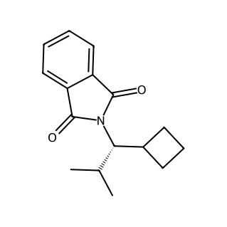 CC(C)[C@@H](C1CCC1)N1C(=O)c2ccccc2C1=O